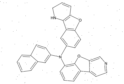 C1=Cc2oc3ccc(N(c4ccc5ccccc5c4)c4cccc5c4oc4cnccc45)cc3c2NC1